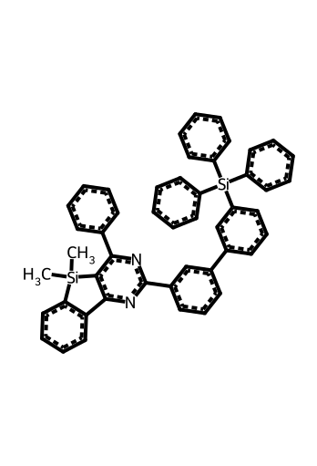 C[Si]1(C)c2ccccc2-c2nc(-c3cccc(-c4cccc([Si](c5ccccc5)(c5ccccc5)c5ccccc5)c4)c3)nc(-c3ccccc3)c21